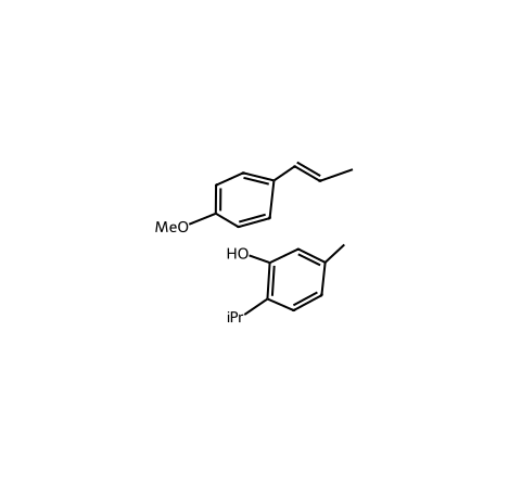 CC=Cc1ccc(OC)cc1.Cc1ccc(C(C)C)c(O)c1